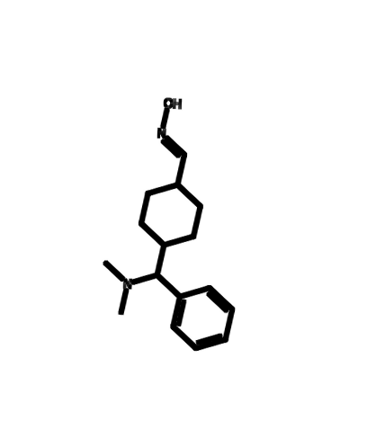 CN(C)C(c1ccccc1)C1CCC(/C=N/O)CC1